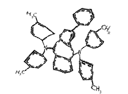 CC1=CCC(N(c2ccc(C)cc2)c2c3ccccc3c(N(c3ccc(C)cc3)c3ccc(C)cc3)c3cc(-c4ccccc4)ccc23)C=C1